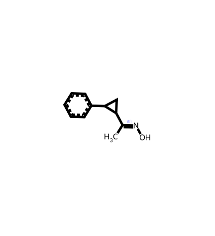 C/C(=N\O)C1CC1c1ccccc1